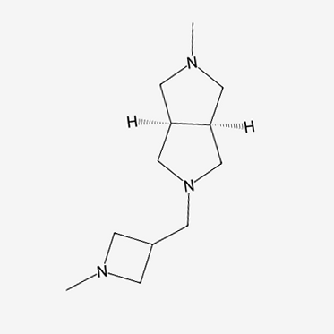 CN1CC(CN2C[C@H]3CN(C)C[C@H]3C2)C1